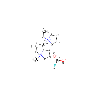 CC[N+]1(C)CCCC1.CC[N+]1(C)CCCC1.[O-]B([O-])F